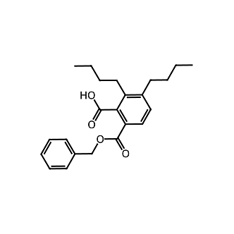 CCCCc1ccc(C(=O)OCc2ccccc2)c(C(=O)O)c1CCCC